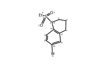 CCS(=O)(=O)N1CCCc2cc(Br)ccc21